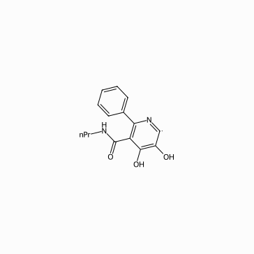 CCCNC(=O)c1c(-c2ccccc2)n[c]c(O)c1O